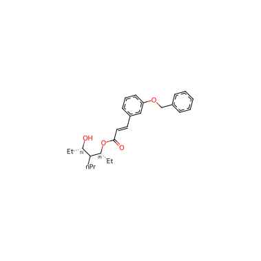 CCCC([C@@H](O)CC)[C@@H](CC)OC(=O)C=Cc1cccc(OCc2ccccc2)c1